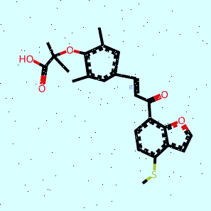 CSc1ccc(C(=O)/C=C/c2cc(C)c(OC(C)(C)C(=O)O)c(C)c2)c2occc12